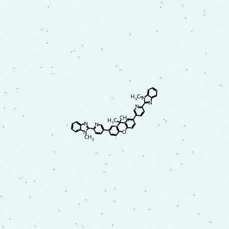 Cn1c(-c2ccc(-c3ccc4c(c3)C(C)(C)c3cc(-c5ccc(-c6nc7ccccc7n6C)nc5)ccc3O4)cn2)nc2ccccc21